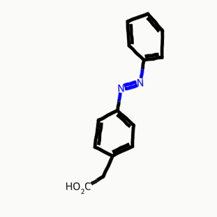 O=C(O)Cc1ccc(N=Nc2ccccc2)cc1